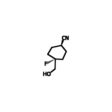 N#C[C@H]1CC[C@@](F)(CO)CC1